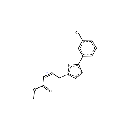 COC(=O)/C=C\Cn1cnc(-c2cccc(Cl)c2)n1